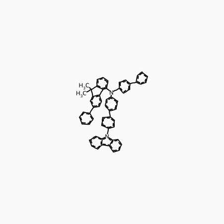 CC1(C)c2cc(-c3ccccc3)ccc2-c2c(N(c3ccc(-c4ccccc4)cc3)c3ccc(-c4ccc(-n5c6ccccc6c6ccccc65)cc4)cc3)cccc21